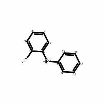 Fc1ccccc1Pc1ccccc1